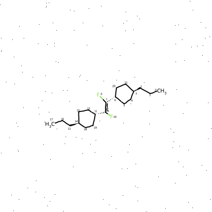 CCC[C@H]1CC[C@H](/C(F)=C(\F)[C@H]2CC[C@H](CCC)CC2)CC1